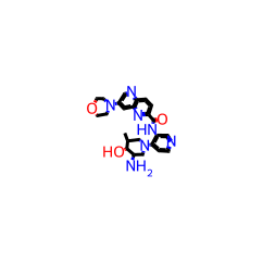 CC1CN(c2ccncc2NC(=O)c2ccc3ncc(N4CCOCC4)cc3n2)CC(N)C1O